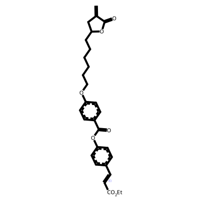 C=C1CC(CCCCCCOc2ccc(C(=O)Oc3ccc(/C=C/C(=O)OCC)cc3)cc2)OC1=O